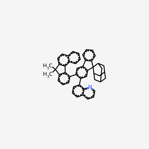 CC1(C)c2cccc(-c3cc4c(cc3-c3cccc5cccnc35)C3(c5ccccc5-4)C4CC5CC(C4)CC3C5)c2-c2c1ccc1ccccc21